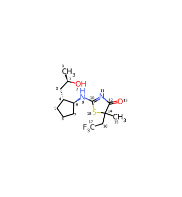 C[C@@H](O)C[C@H]1CCC[C@@H]1NC1=NC(=O)C(C)(CC(F)(F)F)S1